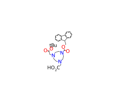 CC(C)(C)OC(=O)CN1CCN(CC(=O)O)CCN(C(=O)OCC2c3ccccc3-c3ccccc32)CC1